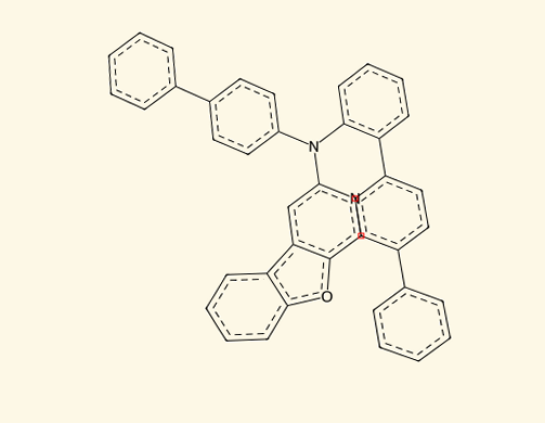 c1ccc(-c2ccc(-c3ccccc3N(c3ccc(-c4ccccc4)cc3)c3cc4c(cn3)oc3ccccc34)cc2)cc1